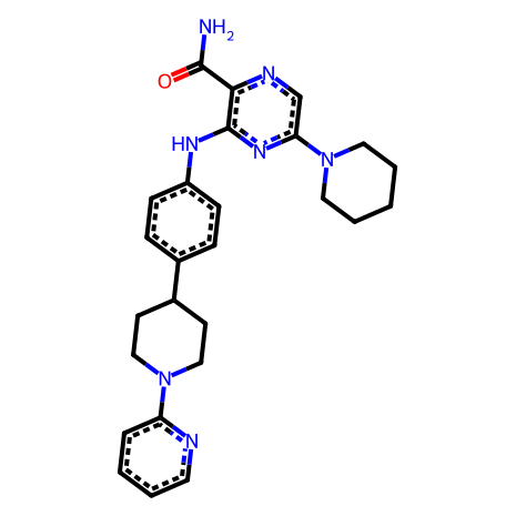 NC(=O)c1ncc(N2CCCCC2)nc1Nc1ccc(C2CCN(c3ccccn3)CC2)cc1